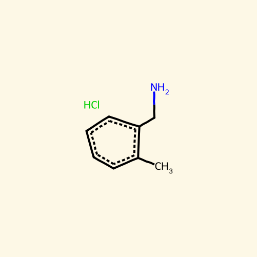 Cc1ccccc1CN.Cl